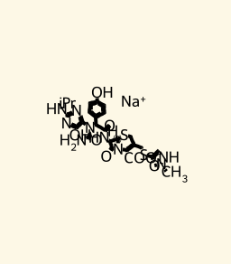 CC(C)Nc1ncc(N(C(N)=O)C(C(=O)NC2C(=O)N3C(C(=O)[O-])=C(CSC4=CNN(C)O4)CS[C@@H]23)c2ccc(O)cc2)c(O)n1.[Na+]